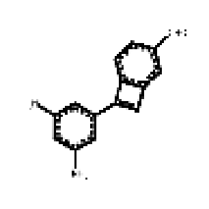 Nc1cc(N)cc(C2=Cc3cc(C=O)ccc32)c1